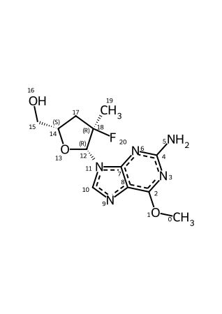 COc1nc(N)nc2c1ncn2[C@@H]1O[C@H](CO)C[C@@]1(C)F